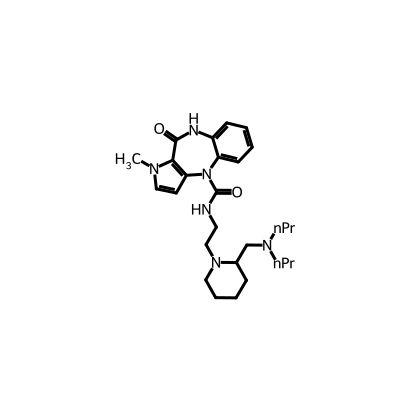 CCCN(CCC)CC1CCCCN1CCNC(=O)N1c2ccccc2NC(=O)c2c1ccn2C